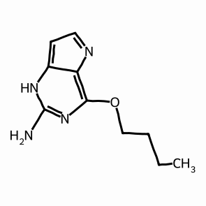 CCCCOc1nc(N)[nH]c2ccnc1-2